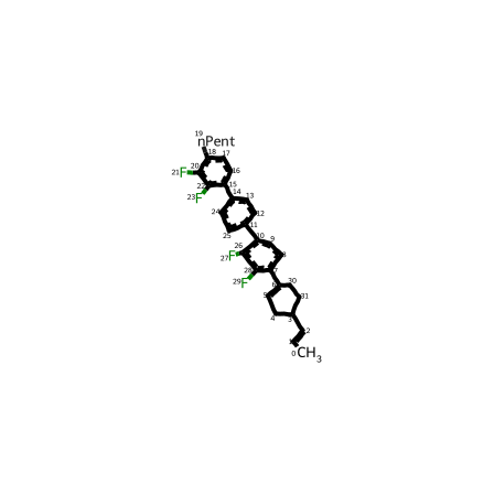 C/C=C/C1CC=C(c2ccc(-c3ccc(-c4ccc(CCCCC)c(F)c4F)cc3)c(F)c2F)CC1